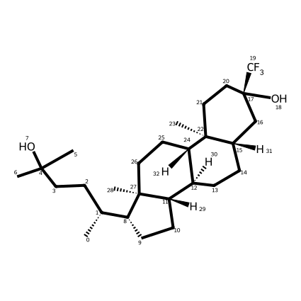 C[C@H](CCC(C)(C)O)[C@H]1CC[C@H]2[C@@H]3CC[C@H]4C[C@](O)(C(F)(F)F)CC[C@]4(C)[C@H]3CC[C@]12C